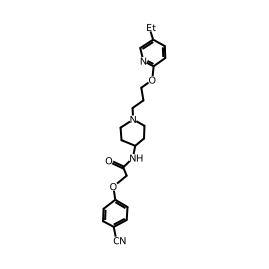 CCc1ccc(OCCCN2CCC(NC(=O)COc3ccc(C#N)cc3)CC2)nc1